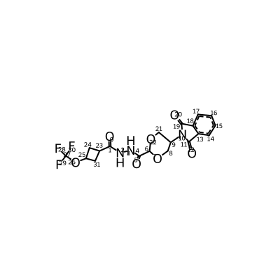 O=C(NNC(=O)C1OCC(N2C(=O)c3ccccc3C2=O)CO1)C1CC(OC(F)(F)F)C1